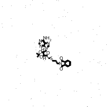 CC1(C)O[C@@H]2[C@@H](CSCCCN3C(=O)c4ccccc4C3=O)OC(n3cnc4c(N)ncnc43)[C@@H]2O1